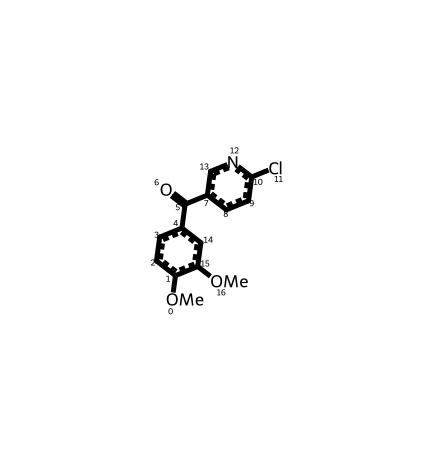 COc1ccc(C(=O)c2ccc(Cl)nc2)cc1OC